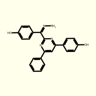 NN=C(c1ccc(O)cc1)c1nc(-c2ccccc2)cc(-c2ccc(O)cc2)n1